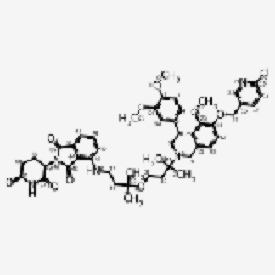 COc1ccc(CCN(Cc2ccc(OCc3ccc(Cl)nc3)c(OC)c2)C(C)(C)CCOC(C)(C)CCNc2cccc3c2C(=O)N(C2CCC(=O)NC2=O)C3=O)cc1OC